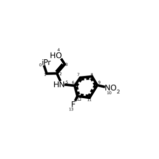 CC(C)CC(=CO)Nc1ccc([N+](=O)[O-])cc1F